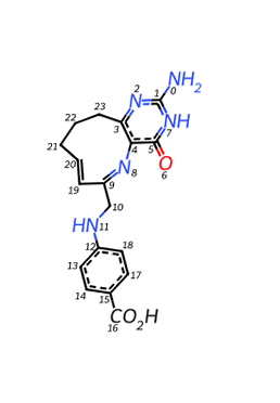 Nc1nc2c(c(=O)[nH]1)/N=C(CNc1ccc(C(=O)O)cc1)\C=C\CCC2